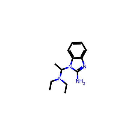 CCN(CC)C(C)n1c(N)nc2ccccc21